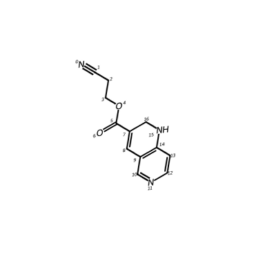 N#CCCOC(=O)C1=Cc2cnccc2NC1